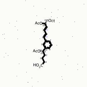 CCCCCCCC[C@@H](/C=C/C=C/c1cccc([C@H](CCCC(=O)O)OC(C)=O)c1)OC(C)=O